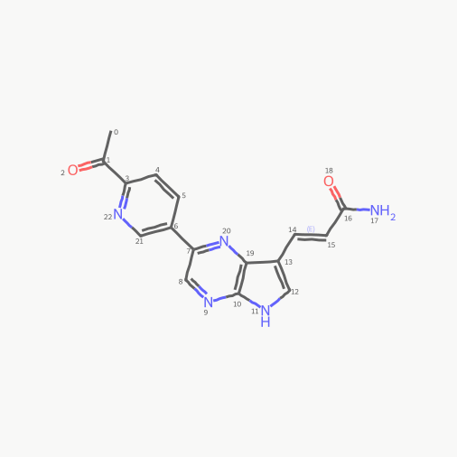 CC(=O)c1ccc(-c2cnc3[nH]cc(/C=C/C(N)=O)c3n2)cn1